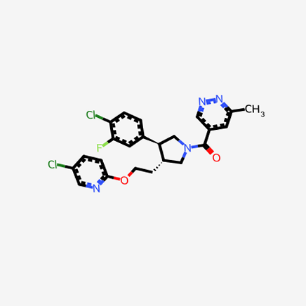 Cc1cc(C(=O)N2C[C@H](CCOc3ccc(Cl)cn3)[C@@H](c3ccc(Cl)c(F)c3)C2)cnn1